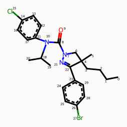 CCCCC1(C)CN(C(=O)N(c2ccc(Cl)cc2)C(C)C)N=C1c1ccc(Br)cc1